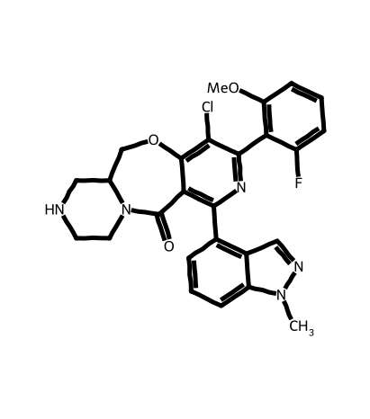 COc1cccc(F)c1-c1nc(-c2cccc3c2cnn3C)c2c(c1Cl)OCC1CNCCN1C2=O